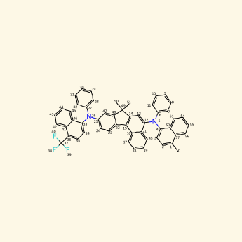 Cc1ccc(N(c2ccccc2)c2cc3c(c4ccccc24)-c2ccc(N(c4ccccc4)c4ccc(C(F)(F)F)c5ccccc45)cc2C3(C)C)c2ccccc12